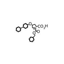 O=C(O)[C@@H]1CC(Oc2ccc(-c3ccccc3)cc2)CN1C(=O)OCc1ccccc1